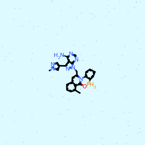 Cc1cccc2cc(Cn3nc(-c4cnn(C)c4)c4c(N)ncnc43)n(-c3ccccc3P)c(=O)c12